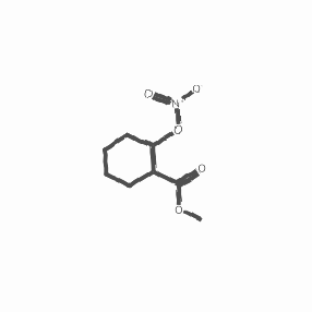 COC(=O)C1CCCCC1O[N+](=O)[O-]